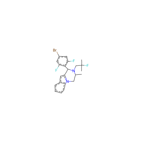 CC1Cn2c(cc3ccccc32)C(c2c(F)cc(Br)cc2F)N1CC(C)(C)F